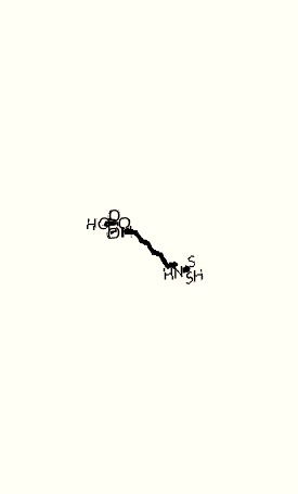 O=P(O)(O)OCCCCCCCCNC(=S)S